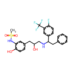 CS(=O)(=O)Nc1cc(CC(O)CNC(Cc2ccccc2)c2ccc(F)c(C(F)(F)F)c2)ccc1O